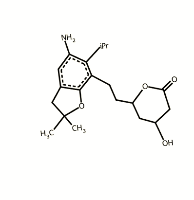 CC(C)c1c(N)cc2c(c1CCC1CC(O)CC(=O)O1)OC(C)(C)C2